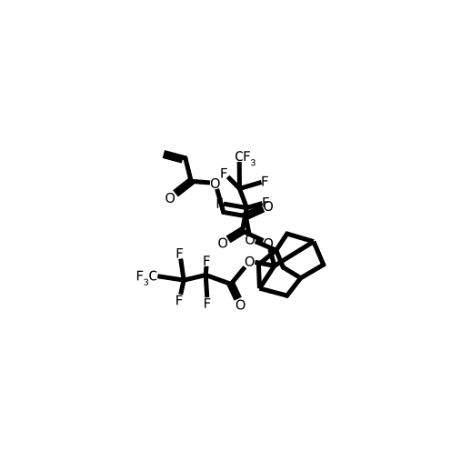 C=CC(=O)OCC(=O)OC12CC3CC(C1)C(OC(=O)C(F)(F)C(F)(F)C(F)(F)F)(OC(=O)C(F)(F)C(F)(F)C(F)(F)F)C(C3)C2